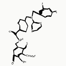 COC1=C(C(C)C)C(=O)C=C(CNC(=O)C2CCC(CN(Cc3ccc(F)cc3F)c3cnccn3)CC2)C1=O